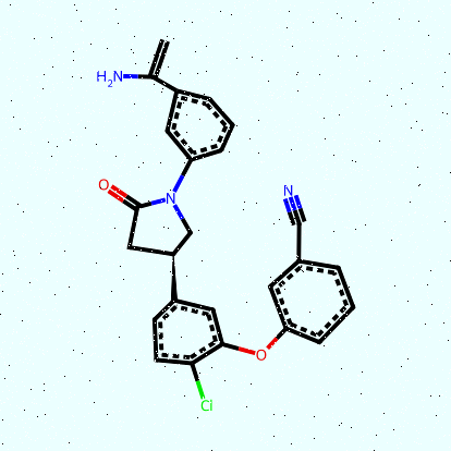 C=C(N)c1cccc(N2C[C@@H](c3ccc(Cl)c(Oc4cccc(C#N)c4)c3)CC2=O)c1